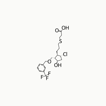 O=C(O)CCSCCC[C@@H]1[C@@H](COCc2cccc(C(F)(F)F)c2)[C@H](O)C[C@H]1Cl